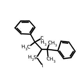 CC(C)(c1ccccc1)C([SiH2]I)C(C)(C)c1ccccc1